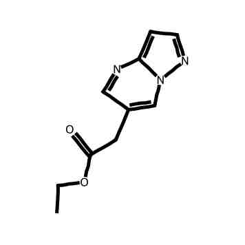 CCOC(=O)Cc1cnc2ccnn2c1